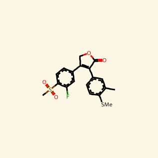 CSc1ccc(C2=C(c3ccc(S(C)(=O)=O)c(F)c3)COC2=O)cc1C